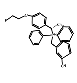 C[C@@H](c1ccc(OCCF)cc1)[PH](Cc1cccc(C#N)c1)(c1ccccc1)c1ccccc1